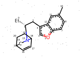 CC[C@H](Cc1coc2ccc(C)cc12)N1CC2C=CC1CC2